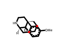 CC[C@@]12OCCC[C@@]13CCN[C@@H]2Cc1ccc(OC)cc13